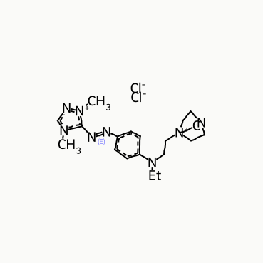 CCN(CC[N+]12CCN(CC1)CC2)c1ccc(/N=N/c2n(C)cn[n+]2C)cc1.[Cl-].[Cl-]